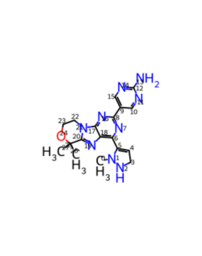 CN1NCC=C1c1nc(-c2cnc(N)nc2)nc2c1nc1n2CCOC1(C)C